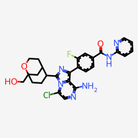 Nc1ncc(Cl)n2c(C3CCC4(CO)CC3CCO4)nc(-c3ccc(C(=O)Nc4ccccn4)cc3F)c12